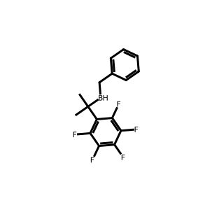 CC(C)(BCc1ccccc1)c1c(F)c(F)c(F)c(F)c1F